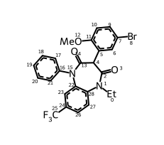 CCN1C(=O)C(c2cc(Br)ccc2OC)C(=O)N(c2ccccc2)c2cc(C(F)(F)F)ccc21